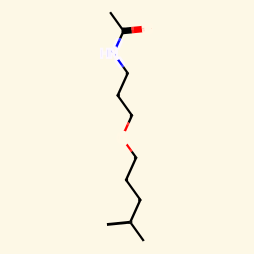 CC(=O)NCCCOCCCC(C)C